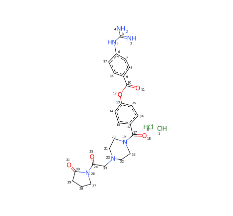 Cl.Cl.N=C(N)Nc1ccc(C(=O)Oc2ccc(C(=O)N3CCN(CC(=O)N4CCCC4=O)CC3)cc2)cc1